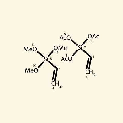 C=C[Si](OC(C)=O)(OC(C)=O)OC(C)=O.C=C[Si](OC)(OC)OC